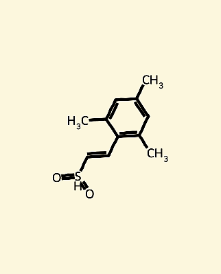 Cc1cc(C)c(/C=C/[SH](=O)=O)c(C)c1